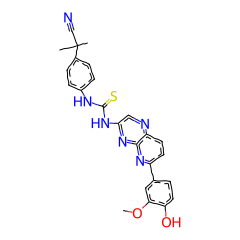 COc1cc(-c2ccc3ncc(NC(=S)Nc4ccc(C(C)(C)C#N)cc4)nc3n2)ccc1O